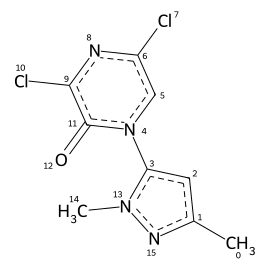 Cc1cc(-n2cc(Cl)nc(Cl)c2=O)n(C)n1